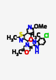 COc1ccc(-c2sc(C)nc2C(=O)N2C[C@H](C)OC[C@H]2c2nc3c(C)c(Cl)ccc3[nH]2)cn1